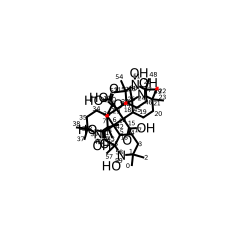 CC1(C)CCC(C(CC(=O)O)(C(=O)O)C(C(=O)O)(C2CCC(C)(C)N(O)C2(C)C)C(C(=O)O)(C2CCC(C)(C)N(O)C2(C)C)C2CCC(C)(C)N(O)C2(C)C)C(C)(C)N1O